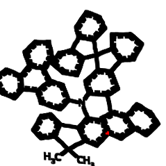 CC1(C)c2ccccc2-c2c(N(c3ccc4c5ccccc5c5ccccc5c4c3)c3cc4c(cc3-c3cccc5ccccc35)-c3ccccc3C43c4ccccc4-c4ccccc43)cccc21